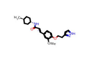 COc1cc(/C=C/C(=O)N[C@H]2CC[C@H](C)CC2)ccc1OCCc1cc[nH]n1